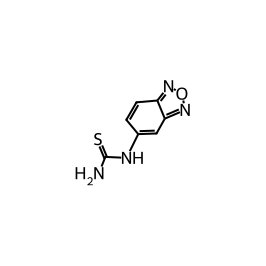 NC(=S)Nc1ccc2nonc2c1